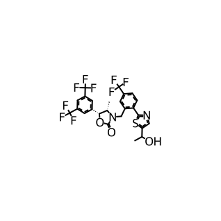 CC(O)c1cnc(-c2ccc(C(F)(F)F)cc2CN2C(=O)O[C@H](c3cc(C(F)(F)F)cc(C(F)(F)F)c3)[C@@H]2C)s1